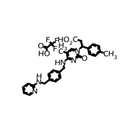 Cc1ccc(C(CC(=O)O)n2cc(C)c(NCc3ccc(CNc4ccccn4)cc3)nc2=O)cc1.O=C(O)C(F)(F)F